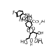 CCCCCCc1cc(F)ccc1NS(=O)(=O)C1CCC2(C=C1C(=O)O)OC(C(O)CO)C(C(O)CO)O2